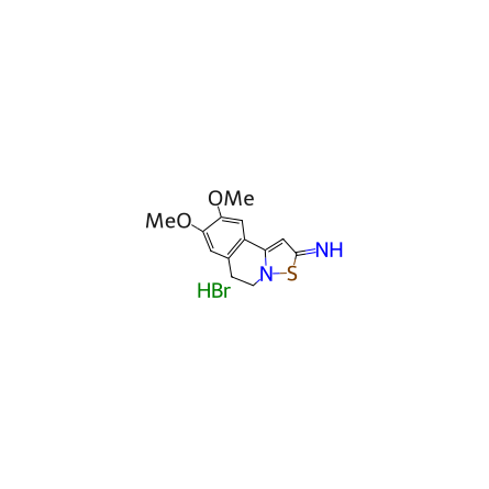 Br.COc1cc2c(cc1OC)-c1cc(=N)sn1CC2